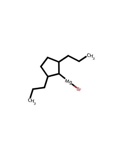 CCCC1CCC(CCC)[CH]1[Mg][Br]